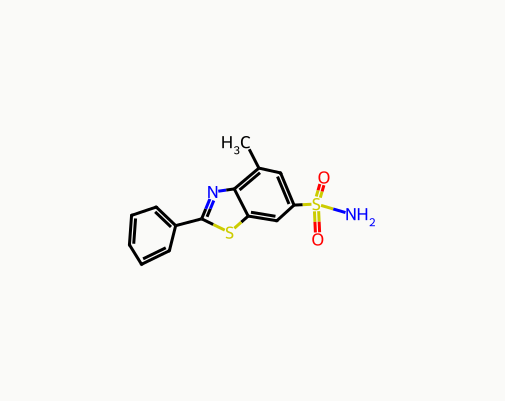 Cc1cc(S(N)(=O)=O)cc2sc(-c3ccccc3)nc12